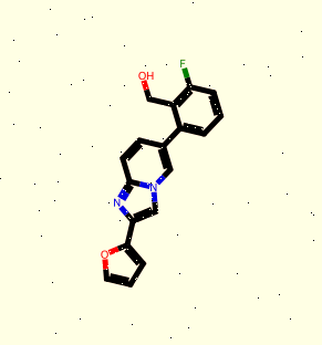 OCc1c(F)cccc1-c1ccc2nc(-c3ccco3)cn2c1